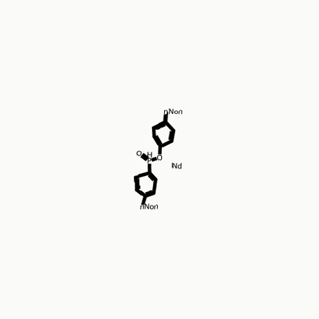 CCCCCCCCCc1ccc(O[PH](=O)c2ccc(CCCCCCCCC)cc2)cc1.[Nd]